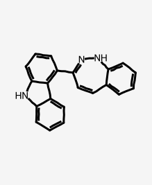 C1=Cc2ccccc2NN=C1c1cccc2[nH]c3ccccc3c12